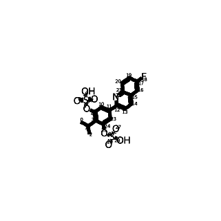 CC(C)c1c(OS(=O)(=O)O)cc(-c2ccc3cc(F)ccc3n2)cc1OS(=O)(=O)O